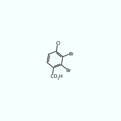 O=C(O)c1ccc(Cl)c(Br)c1Br